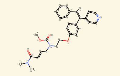 CC/C(=C(\c1ccncc1)c1ccc(OCCN(C/C=C/C(=O)N(C)C)C(=O)OC(C)(C)C)cc1)c1ccccc1